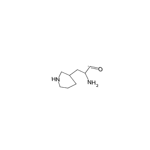 NC([C]=O)CC1CCCNC1